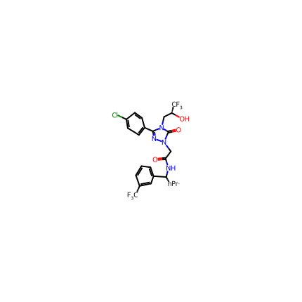 CC[CH]C(NC(=O)Cn1nc(-c2ccc(Cl)cc2)n(C[C@H](O)C(F)(F)F)c1=O)c1cccc(C(F)(F)F)c1